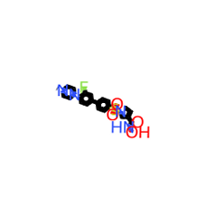 CN1CCN(c2ccc(-c3ccc(S(=O)(=O)N4CC=C(C(=O)NO)C4)cc3)cc2F)CC1